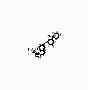 CC(C)(O)c1nnc2ccc3cc(Sc4cc(F)cc(C5(C#N)CCOCC5)c4)ccc3n12